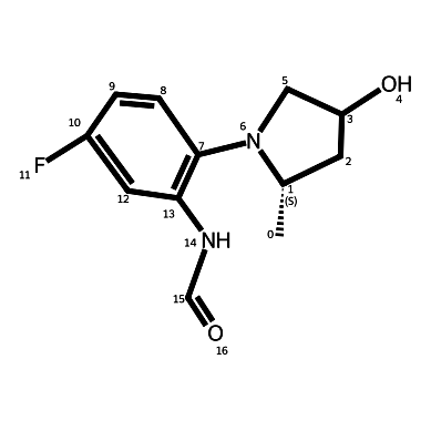 C[C@H]1CC(O)CN1c1ccc(F)cc1NC=O